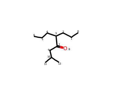 CCCC(CCC)C(=O)CC(C)C